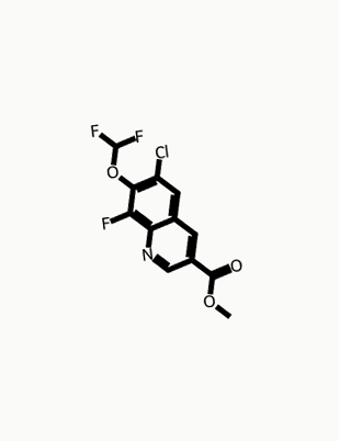 COC(=O)c1cnc2c(F)c(OC(F)F)c(Cl)cc2c1